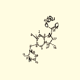 Cc1cc2c(cc1Cn1ccnc1C)C(C)(C)CN2C(=O)OC(C)(C)C